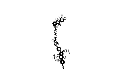 CCc1cc2c(cc1N1CCC(N3CCN(C(=O)CCOCCOCCNc4cccc5c4C(=O)N(C4CCC(=O)NC4=O)C5=O)CC3)CC1)C(C)(C)c1[nH]c3cc(C#N)ccc3c1C2=O